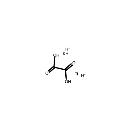 O=C(O)C(=O)O.[H-].[H-].[KH].[Ti]